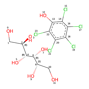 OC[C@@H](O)[C@@H](O)[C@H](O)[C@@H](O)CO.Oc1c(Cl)c(Cl)c(Cl)c(Cl)c1Cl